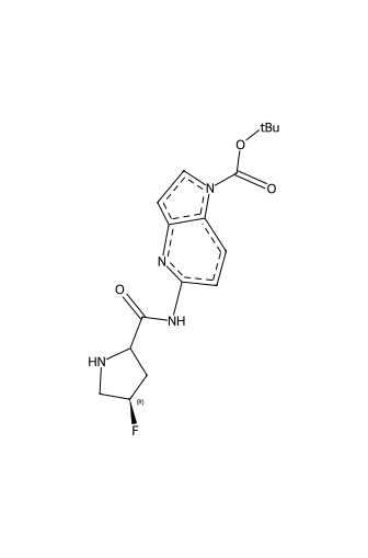 CC(C)(C)OC(=O)n1ccc2nc(NC(=O)C3C[C@@H](F)CN3)ccc21